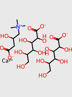 C[N+](C)(C)CC(O)CC(=O)[O-].O=C([O-])C(O)C(O)C(O)C(O)CO.O=C([O-])C(O)C(O)C(O)C(O)CO.[Ca+2]